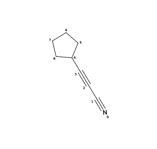 N#CC#CC1CCCC1